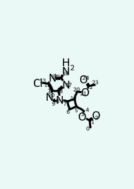 CC(=O)OCC1CC(n2cnc3c(Cl)nc(N)nc32)C1COC(C)=O